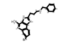 Nc1nc2cc(Br)ccc2c2nc(CCCOCc3ccccc3)oc12